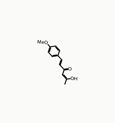 COc1ccc(/C=C/C(=O)/C=C(/C)O)cc1